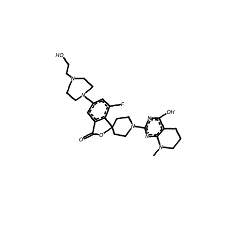 CN1CCCc2c(O)nc(N3CCC4(CC3)OC(=O)c3cc(N5CCN(CCO)CC5)cc(F)c34)nc21